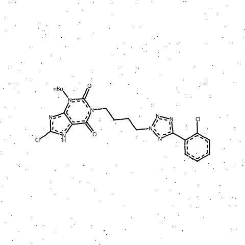 CCCCn1c(=O)n(CCCCn2nnc(-c3ccccc3Cl)n2)c(=O)c2[nH]c(Cl)nc21